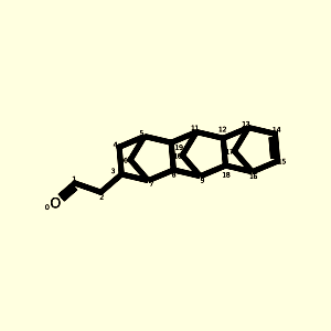 O=CCC1CC2CC1C1C3CC(C4C5C=CC(C5)C34)C21